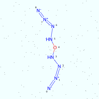 [N-]=[N+]=NNONN=[N+]=[N-]